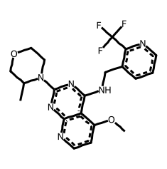 COc1ccnc2nc(N3CCOCC3C)nc(NCc3cccnc3C(F)(F)F)c12